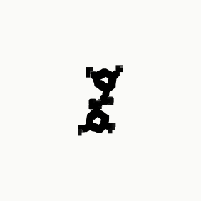 Fc1cc(F)cc([Se][Se]c2cc(F)cc(F)c2)c1